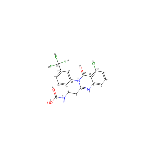 O=C(O)NCCc1nc2cccc(Cl)c2c(=O)n1-c1cccc(C(F)(F)F)c1